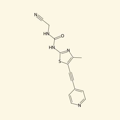 Cc1nc(NC(=O)NCC#N)sc1C#Cc1ccncc1